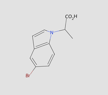 CC(C(=O)O)n1ccc2cc(Br)ccc21